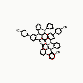 N#Cc1ccc(-c2ccc(-c3nc(-c4cccc(-c5cccc(C#N)c5)c4)nc(-c4ccc(-c5ccc(C#N)cc5)cc4N4c5ccccc5N(c5ccccc5)c5ccccc54)n3)c(N3c4ccccc4N(c4ccccc4)c4ccccc43)c2)cc1